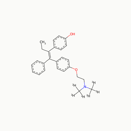 [2H]C([2H])([2H])N(CCOc1ccc(/C(=C(/CC)c2ccc(O)cc2)c2ccccc2)cc1)C([2H])([2H])[2H]